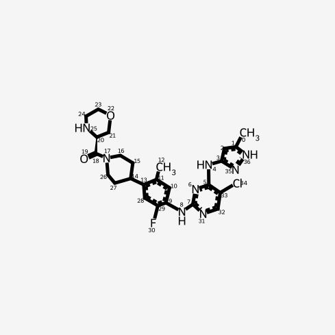 Cc1cc(Nc2nc(Nc3cc(C)c(C4CCN(C(=O)[C@@H]5COCCN5)CC4)cc3F)ncc2Cl)n[nH]1